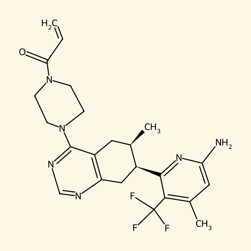 C=CC(=O)N1CCN(c2ncnc3c2C[C@@H](C)[C@@H](c2nc(N)cc(C)c2C(F)(F)F)C3)CC1